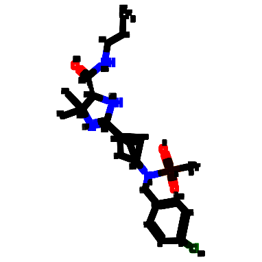 CC(C)S(=O)(=O)N(Cc1ccc(Cl)cc1)C12CC(C3=NC(C)(C)[C@H](C(=O)NCCC(F)(F)F)N3)(C1)C2